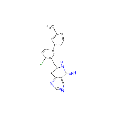 N=C1NC(c2cc(-c3cccc(C(F)(F)F)c3)ccc2F)Cc2ncncc21